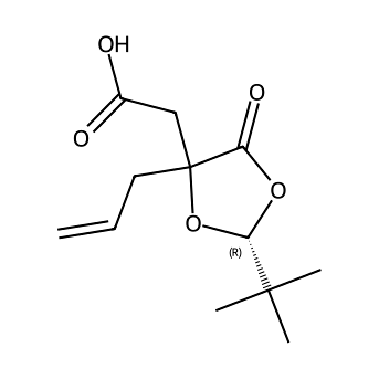 C=CCC1(CC(=O)O)O[C@@H](C(C)(C)C)OC1=O